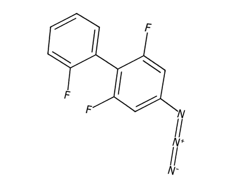 [N-]=[N+]=Nc1cc(F)c(-c2ccccc2F)c(F)c1